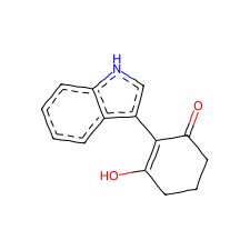 O=C1CCCC(O)=C1c1c[nH]c2ccccc12